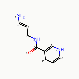 NC=CCNC(=O)C1=CNC=CC1